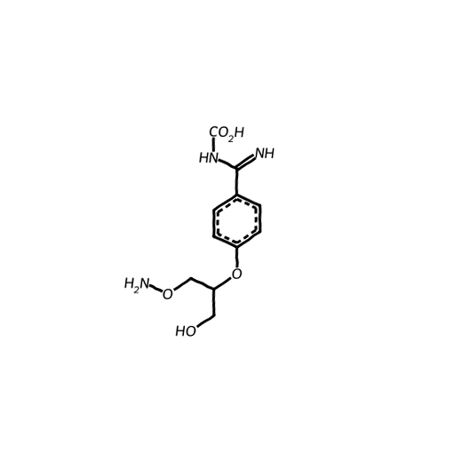 N=C(NC(=O)O)c1ccc(OC(CO)CON)cc1